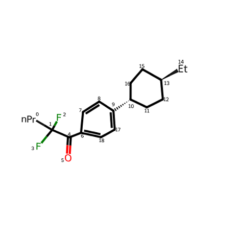 CCCC(F)(F)C(=O)c1ccc([C@H]2CC[C@H](CC)CC2)cc1